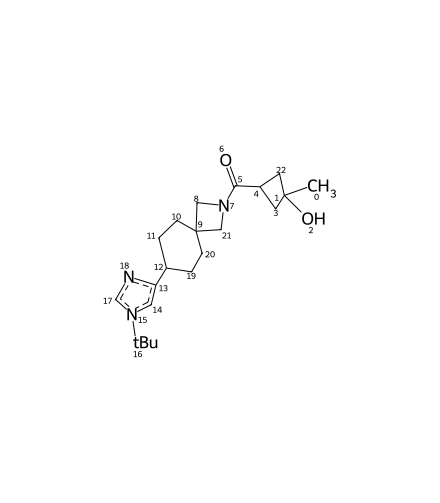 CC1(O)CC(C(=O)N2CC3(CCC(c4cn(C(C)(C)C)cn4)CC3)C2)C1